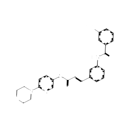 O=C(/C=C/c1cccc(NC(=O)c2cccc(C(F)(F)F)c2)c1)Nc1ccc(N2CCOCC2)nc1